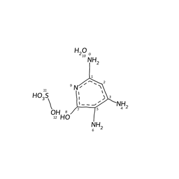 Nc1cc(N)c(N)c(O)n1.O.O=S(=O)(O)O